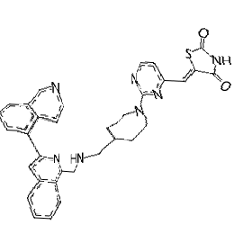 O=C1NC(=O)/C(=C/c2ccnc(N3CCC(CNCc4nc(-c5cccc6cnccc56)cc5ccccc45)CC3)n2)S1